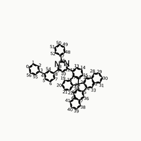 c1ccc(-c2cccc(-c3cc(-c4cccc5c4-c4ccccc4C54c5cc6ccccc6cc5-c5cc6ccccc6cc54)nc(-c4ccccc4)n3)c2)cc1